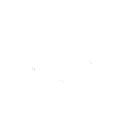 N#Cc1cccc(-c2cc[c]cn2)c1C#N